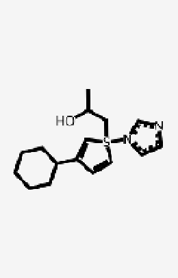 CC(O)CS1(n2ccnc2)C=CC(C2CCCCC2)=C1